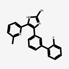 Cc1cccc(-c2[nH]c(C(C)C)nc2-c2cccc(-c3ccccc3F)c2)n1